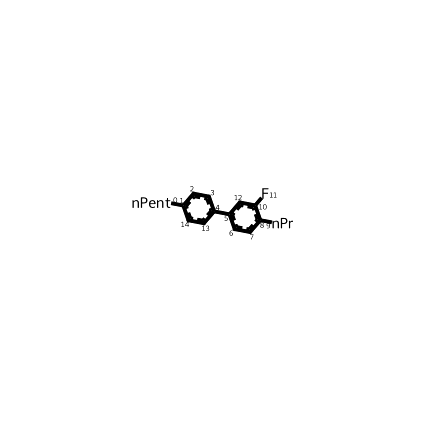 CCCCCc1ccc(-c2ccc(CCC)c(F)c2)cc1